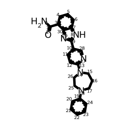 NC(=O)c1cccc2[nH]c(-c3ccc(N4CCCN(c5ccccc5)CC4)nc3)nc12